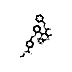 CCOC(=O)c1ccc(COc2ccccc2C2C(C(=O)OCc3ccccc3)=C(C)Nc3nnnn32)cc1